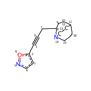 C(#Cc1ccno1)CC1CCC2CCN1CC2